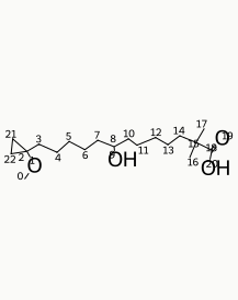 COC1(CCCCCC(O)CCCCCC(C)(C)C(=O)O)CC1